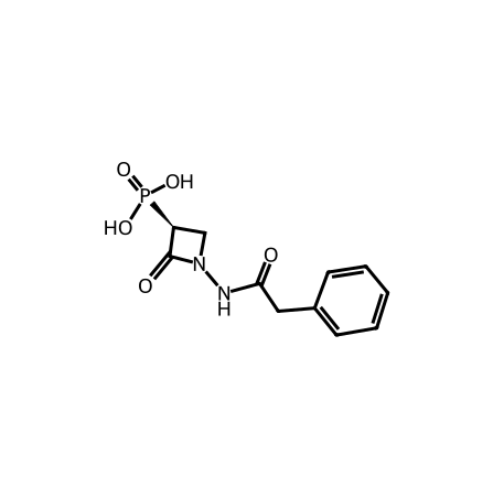 O=C(Cc1ccccc1)NN1C[C@H](P(=O)(O)O)C1=O